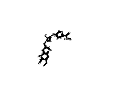 CCc1cc2ncc(CN3C[C@H](Oc4ccc(C(=O)NC)nc4)[C@@H]3C)cc2[nH]c1=O